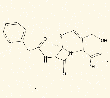 O=C(Cc1ccccc1)N[C@@H]1C(=O)N2C(C(=O)O)C(CO)=CS[C@H]12